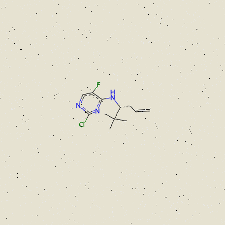 C=CC[C@@H](Nc1nc(Cl)ncc1F)C(C)(C)C